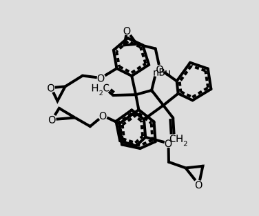 C=CC([C](CCCC)C(C=C)(c1ccccc1OCC1CO1)c1ccccc1OCC1CO1)(c1ccccc1OCC1CO1)c1ccccc1OCC1CO1